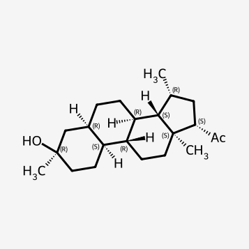 CC(=O)[C@H]1C[C@@H](C)[C@H]2[C@@H]3CC[C@@H]4C[C@](C)(O)CC[C@@H]4[C@H]3CC[C@@]21C